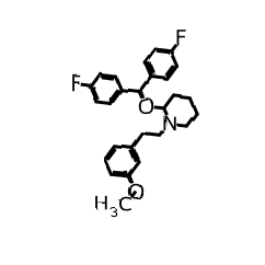 COc1cccc(CCN2CCCCC2OC(c2ccc(F)cc2)c2ccc(F)cc2)c1